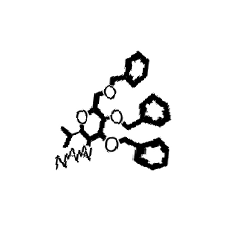 CC(C)[C@H]1OC(COCc2ccccc2)[C@@H](OCc2ccccc2)C(OCc2ccccc2)C1N=[N+]=[N-]